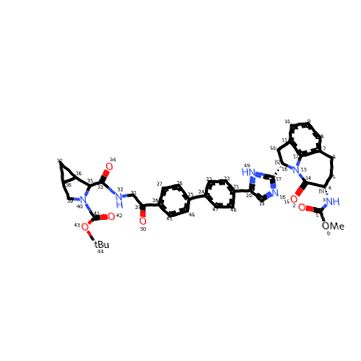 COC(=O)N[C@H]1CCc2cccc3c2N(C1=O)[C@H](c1ncc(-c2ccc(-c4ccc(C(=O)CNC(=O)C5C6CC6CN5C(=O)OC(C)(C)C)cc4)cc2)[nH]1)C3